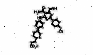 N#CCC1CCN(c2nc(C=N)c(C(N)=O)c(Nc3ccc(N4CCN(CCC(=O)O)CC4)cc3)n2)CC1